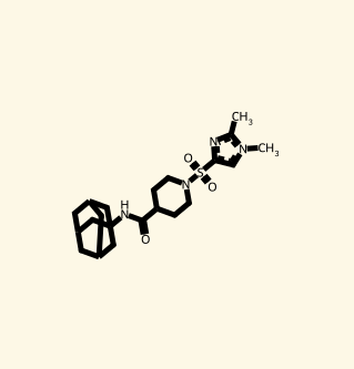 Cc1nc(S(=O)(=O)N2CCC(C(=O)NC34CC5CC(CC(C5)C3)C4)CC2)cn1C